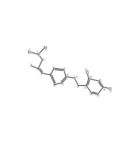 CCN(CC)CC(C)=Cc1ccc(SCc2ccc(Cl)cc2Cl)cc1